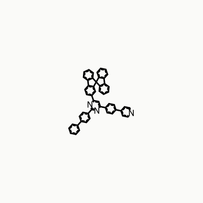 c1ccc(-c2ccc(-c3nc(-c4ccc(-c5ccncc5)cc4)cc(-c4ccc5c(c4)C4(c6ccccc6-c6ccccc64)c4ccccc4-5)n3)cc2)cc1